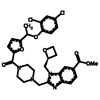 COC(=O)c1ccc2nc(CN3CCN(C(=O)c4ccc(C(C)Oc5ccc(Cl)cc5Cl)o4)CC3)n(C[C@@H]3CCO3)c2c1